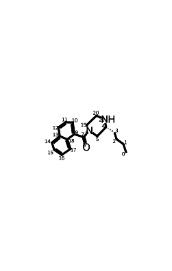 CCCC[C@@H]1CN(C(=O)c2cccc3ccccc23)CCN1